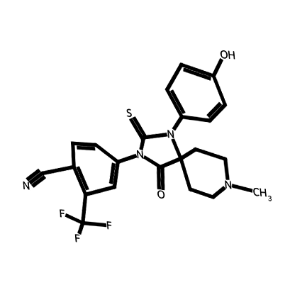 CN1CCC2(CC1)C(=O)N(c1ccc(C#N)c(C(F)(F)F)c1)C(=S)N2c1ccc(O)cc1